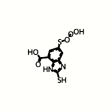 O=C(O)c1cc(SOOO)cc2nc(S)[nH]c12